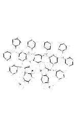 CC(C)(C)c1ccc2c(c1)C1=C(B3c4cc5c(cc4N(c4ccccc4)c4cc(N(c6ccccc6)c6ccccc6)cc(c43)N1c1ccccc1)N(c1ccccc1)c1cc(N(c3ccccc3)c3ccccc3)cc3c1B5C1=C(c4cc(C(C)(C)C)ccc4C1(C)C)N3c1ccccc1)C2(C)C